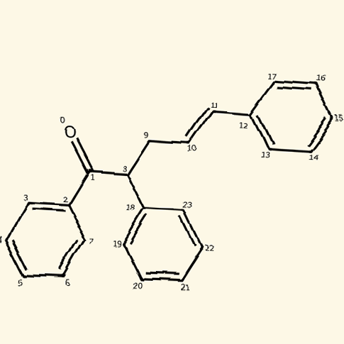 O=C(c1ccccc1)C(CC=Cc1ccccc1)c1ccccc1